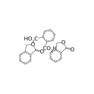 O=C(O)c1ccccc1C(=O)O.O=C1OCc2ccccc21.O=C1OCc2ccccc21